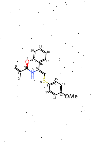 C=C(C)C(=O)NC(=CSc1ccc(OC)cc1)c1ccccc1